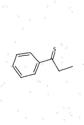 CCC(=S)c1cc[c]cc1